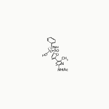 CC(=O)Nc1nc(C)c(-c2ccc(S(=O)(=O)N[C@H](CCO)c3ccccc3)o2)s1